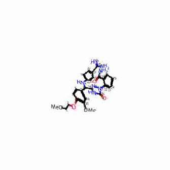 COCCOc1ccc(C(Nc2ccc(C(=N)N)cc2)c2nn(-c3ccccc3C(N)=O)c(=O)[nH]2)cc1OC